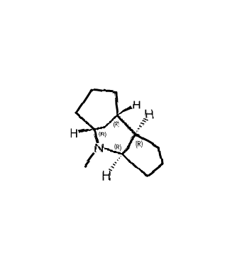 CN1[C@@H]2CCC[C@@H]2[C@H]2CCC[C@H]21